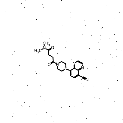 CN(C)C(=O)CCC(=O)N1CCN(c2ccc(C#N)c3nccnc23)CC1